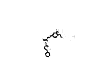 Cc1sc(-c2ccc(-c3ccccc3)nc2)nc1CCOc1ccc(CCC(=O)O)c(N)c1